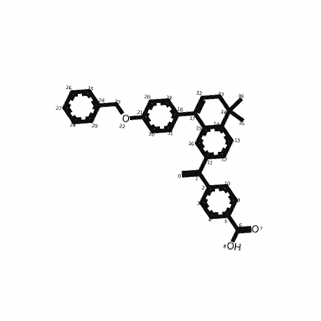 C=C(c1ccc(C(=O)O)cc1)c1ccc2c(c1)C(c1ccc(OCc3ccccc3)cc1)=CCC2(C)C